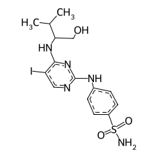 CC(C)C(CO)Nc1nc(Nc2ccc(S(N)(=O)=O)cc2)ncc1I